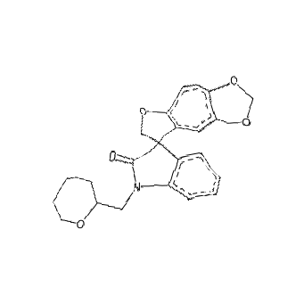 O=C1N(CC2CCCCO2)c2ccccc2C12COc1cc3c(cc12)OCO3